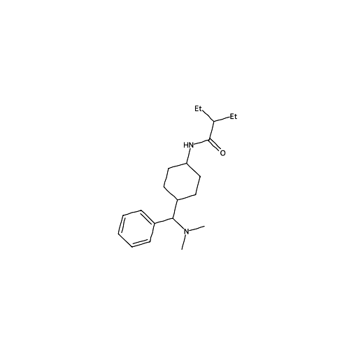 CCC(CC)C(=O)NC1CCC(C(c2ccccc2)N(C)C)CC1